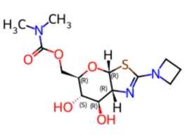 CN(C)C(=O)OC[C@H]1O[C@@H]2SC(N3CCC3)=N[C@@H]2[C@@H](O)[C@@H]1O